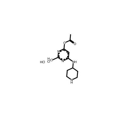 CC(=O)Oc1cc(NC2CCNCC2)nc(Cl)n1.Cl.Cl